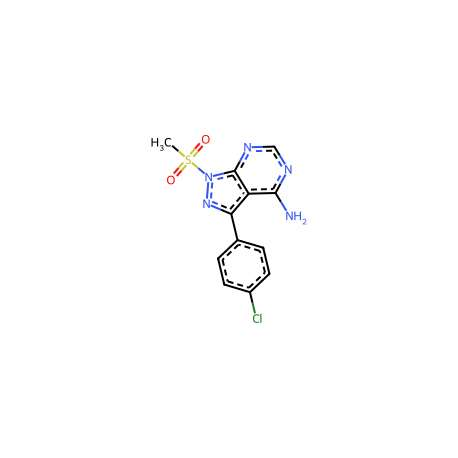 CS(=O)(=O)n1nc(-c2ccc(Cl)cc2)c2c(N)ncnc21